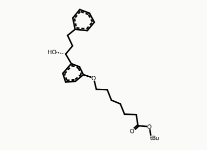 CC(C)(C)OC(=O)CCCCCCOc1cccc([C@H](O)CCc2ccccc2)c1